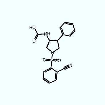 N#Cc1ccccc1S(=O)(=O)N1CC(NC(=O)O)C(c2ccccc2)C1